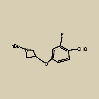 CCCCN1CC(Oc2ccc(C=O)c(F)c2)C1